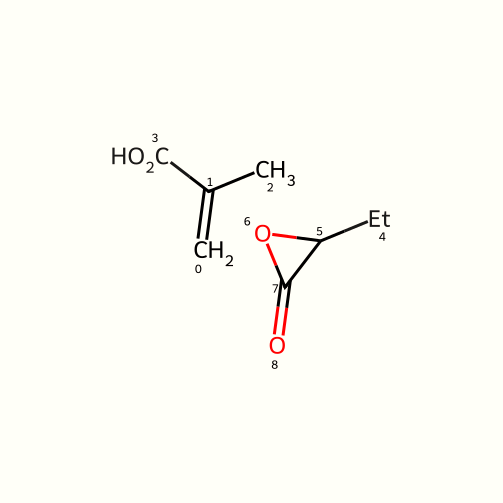 C=C(C)C(=O)O.CCC1OC1=O